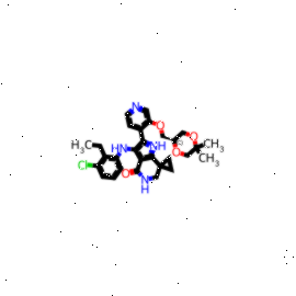 CCc1c(Cl)cccc1Nc1c(-c2ccncc2OC[C@H]2COC(C)(C)CO2)[nH]c2c1C(=O)NCC21CC1